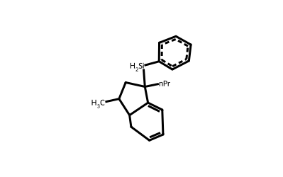 CCCC1([SiH2]c2ccccc2)CC(C)C2CC=CC=C21